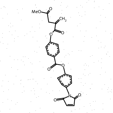 C=C(CC(=O)OC)C(=O)Oc1ccc(C(=O)Oc2ccc(N3C(=O)C=CC3=O)cc2)cc1